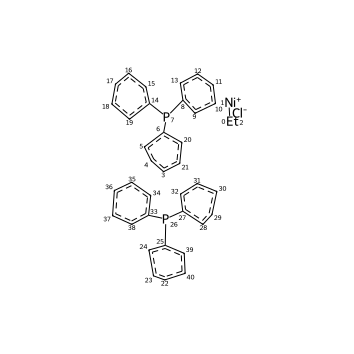 C[CH2][Ni+].[Cl-].c1ccc(P(c2ccccc2)c2ccccc2)cc1.c1ccc(P(c2ccccc2)c2ccccc2)cc1